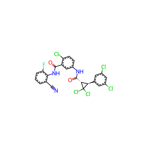 N#Cc1cccc(F)c1NC(=O)c1cc(NC(=O)[C@@H]2[C@@H](c3cc(Cl)cc(Cl)c3)C2(Cl)Cl)ccc1Cl